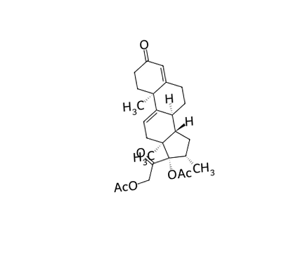 CC(=O)OCC(=O)[C@]1(OC(C)=O)[C@@H](C)C[C@H]2[C@@H]3CCC4=CC(=O)CC[C@]4(C)C3=CC[C@@]21C